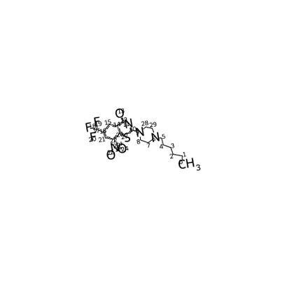 CCCCCCN1CCN(c2nc(=O)c3cc(C(F)(F)F)cc([N+](=O)[O-])c3s2)CC1